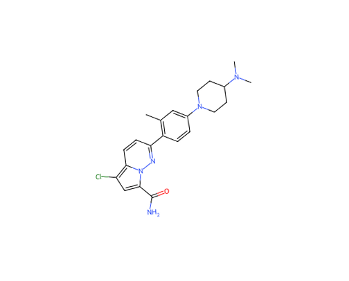 Cc1cc(N2CCC(N(C)C)CC2)ccc1-c1ccc2c(Cl)cc(C(N)=O)n2n1